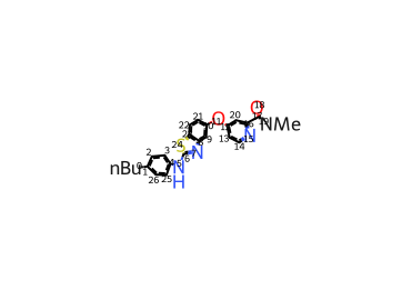 CCCCc1ccc(Nc2nc3cc(Oc4ccnc(C(=O)NC)c4)ccc3s2)cc1